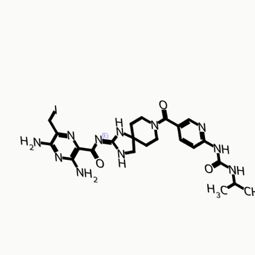 CC(C)NC(=O)Nc1ccc(C(=O)N2CCC3(CC2)CN/C(=N\C(=O)c2nc(CI)c(N)nc2N)N3)cn1